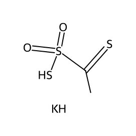 CC(=S)S(=O)(=O)S.[KH]